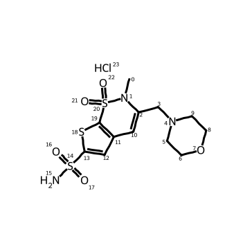 CN1C(CN2CCOCC2)=Cc2cc(S(N)(=O)=O)sc2S1(=O)=O.Cl